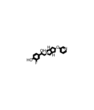 Oc1ccc(C(O)CN2C[C@H]3C[C@H](Oc4cccnc4)C[C@H]3C2)cc1F